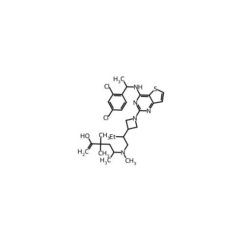 C=C(O)C(C)(C)CC(C)N(C)CC(CC)C1CN(c2nc(NC(C)c3ccc(Cl)cc3Cl)c3sccc3n2)C1